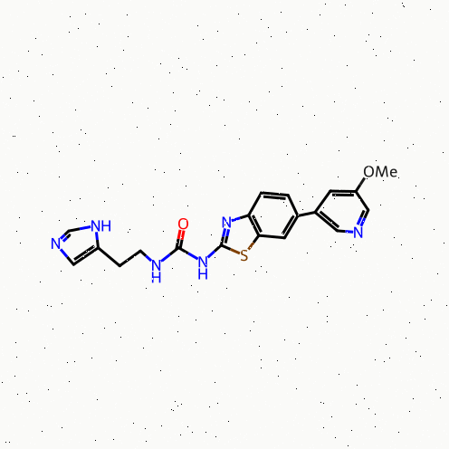 COc1cncc(-c2ccc3nc(NC(=O)NCCc4cnc[nH]4)sc3c2)c1